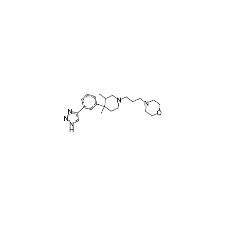 CC1CN(CCCN2CCOCC2)CCC1(C)c1cccc(-c2c[nH]nn2)c1